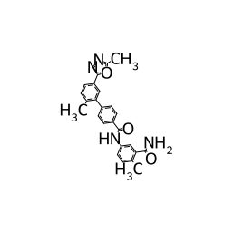 Cc1nnc(-c2ccc(C)c(-c3ccc(C(=O)Nc4ccc(C)c(C(N)=O)c4)cc3)c2)o1